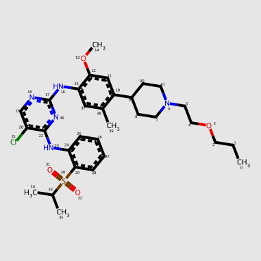 CCCOCCN1CCC(c2cc(OC)c(Nc3ncc(Cl)c(Nc4ccccc4S(=O)(=O)C(C)C)n3)cc2C)CC1